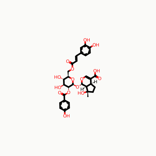 C[C@]1(O)CC[C@@H]2C(C(=O)O)=CO[C@@H](O[C@@H]3O[C@H](COC(=O)/C=C/c4ccc(O)c(O)c4)[C@@H](O)[C@H](O)[C@H]3OC(=O)c3ccc(O)cc3)[C@@H]21